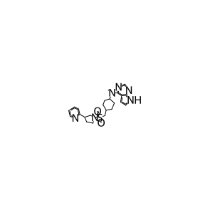 CN(c1ncnc2[nH]ccc12)C1CCC(CS(=O)(=O)N2CCC(c3ccccn3)C2)CC1